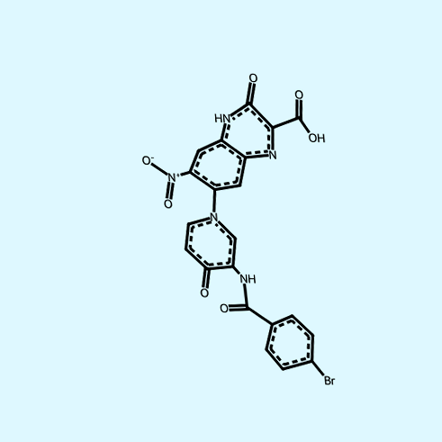 O=C(Nc1cn(-c2cc3nc(C(=O)O)c(=O)[nH]c3cc2[N+](=O)[O-])ccc1=O)c1ccc(Br)cc1